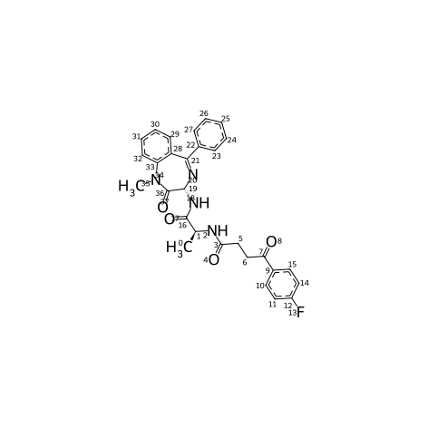 C[C@H](NC(=O)CCC(=O)c1ccc(F)cc1)C(=O)N[C@H]1N=C(c2ccccc2)c2ccccc2N(C)C1=O